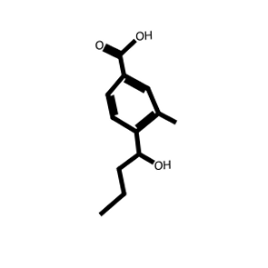 CCCC(O)c1ccc(C(=O)O)cc1C